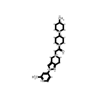 Cc1cc(-n2cc3c(n2)CCN(CC(=O)N2CCC(N4CCC(C)CC4)CC2)C3)ccn1